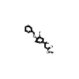 COC(=O)CC(=O)c1ccc(OCc2ccccc2)c(F)c1